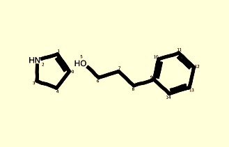 C1=CNCC1.OCCCc1ccccc1